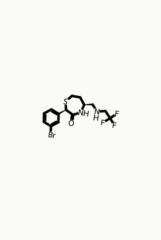 O=C1N[C@H](CNCC(F)(F)F)CCS[C@@H]1c1cccc(Br)c1